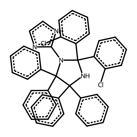 Clc1ccccc1C1(c2ccccc2Cl)NC(c2ccccc2)(c2ccccc2)C(c2ccccc2)(c2ccccc2)N1c1ncc[nH]1